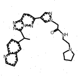 CC(c1ccc2ncccc2c1)c1nnc2ccc(-c3cnn(CC(=O)NCCN4CCCC4)c3)nn12